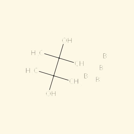 CC(C)(O)C(C)(C)O.[B].[B].[B].[B]